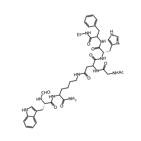 CCNC(=O)C(Cc1ccccc1)NC(=O)[C@H](Cc1c[nH]cn1)NC(=O)C(CC(=O)NCCCCC(NC(=O)[C@H](Cc1c[nH]c2ccccc12)NC=O)C(N)=O)NC(=O)CNC(C)=O